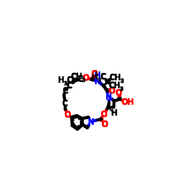 CC1(C)CCCCCOc2ccc3c(c2)CN(C3)C(=O)O[C@@H]2CC(C(=O)O)N(C2)C(=O)[C@H](C(C)(C)C)NC(=O)OC1